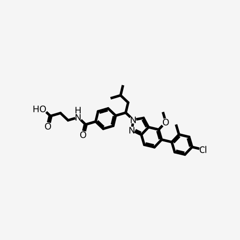 COc1c(-c2ccc(Cl)cc2C)ccc2nn(C(CC(C)C)c3ccc(C(=O)NCCC(=O)O)cc3)cc12